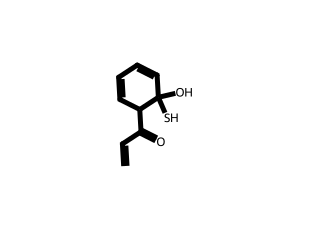 C=CC(=O)C1C=CC=CC1(O)S